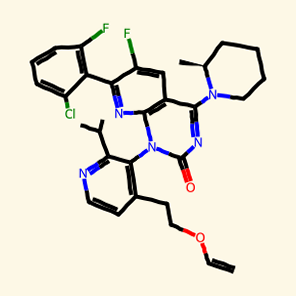 C=COCCc1ccnc(C(C)C)c1-n1c(=O)nc(N2CCCC[C@@H]2C)c2cc(F)c(-c3c(F)cccc3Cl)nc21